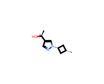 C[C@H](O)c1cnn([C@H]2C[C@@H](C)C2)c1